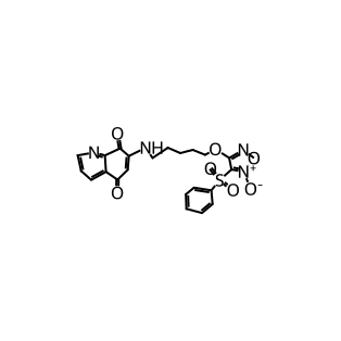 O=C1C=C(NCCCCCOc2no[n+]([O-])c2S(=O)(=O)c2ccccc2)C(=O)c2ncccc21